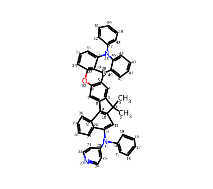 CC1(C)c2cc3c(cc2-c2c1cc(N(c1ccccc1)c1ccncc1)c1ccccc21)Oc1cccc2c1B3c1ccccc1N2c1ccccc1